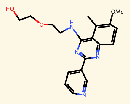 COc1ccc2nc(-c3cccnc3)nc(NCCOCCO)c2c1C